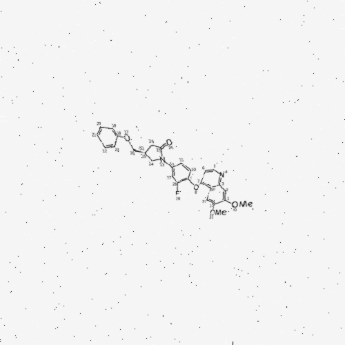 COc1cc2nccc(Oc3ccc(N4C[C@@H](COc5ccccc5)CC4=O)cc3F)c2cc1OC